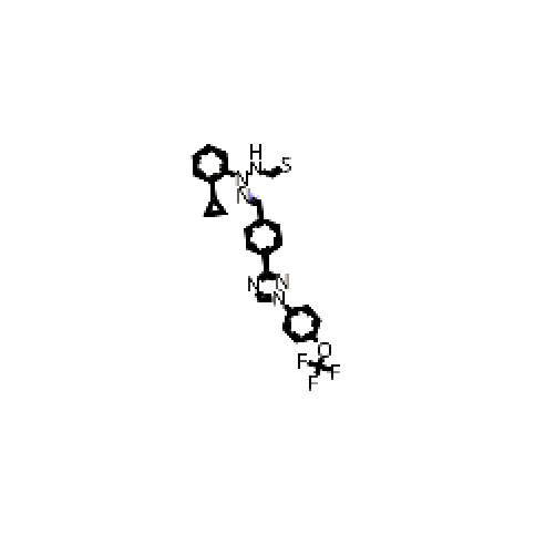 FC(F)(F)Oc1ccc(-n2cnc(-c3ccc(/C=N/N(NC=S)c4ccccc4C4CC4)cc3)n2)cc1